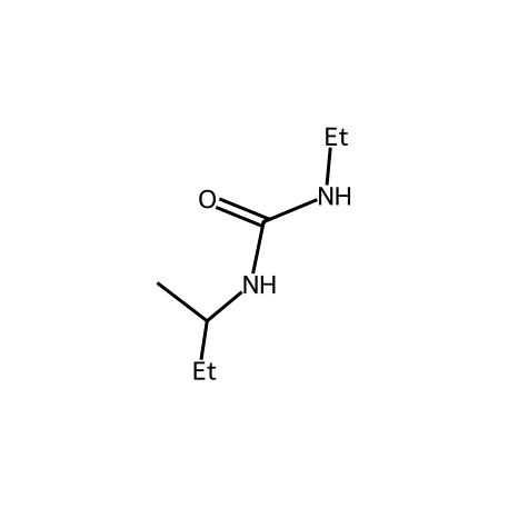 CCNC(=O)NC(C)CC